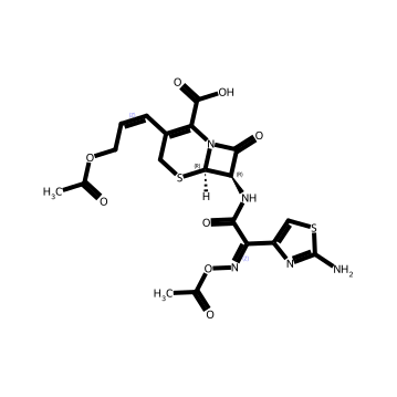 CC(=O)OC/C=C\C1=C(C(=O)O)N2C(=O)[C@@H](NC(=O)/C(=N\OC(C)=O)c3csc(N)n3)[C@H]2SC1